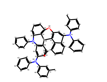 Cc1cccc(N(c2ccccc2)c2cc3c(c4ccccc24)B2c4c(cccc4N(c4ccccc4)c4cc(N(c5ccccc5)c5cccc(C)c5)c5ccccc5c42)O3)c1